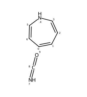 C1=CC=CNC=C1.N=C=O